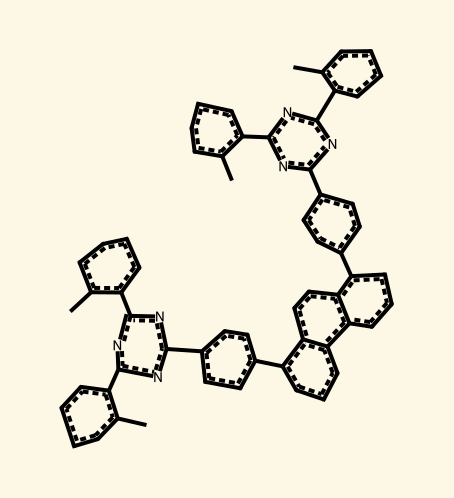 Cc1ccccc1-c1nc(-c2ccc(-c3cccc4c3ccc3c(-c5ccc(-c6nc(-c7ccccc7C)nc(-c7ccccc7C)n6)cc5)cccc34)cc2)nc(-c2ccccc2C)n1